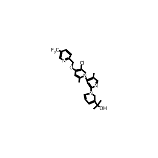 CC1=CC(OCc2ccc(C(F)(F)F)cn2)=C(Cl)CN1c1cc(N2C=CC=C(C(C)(C)O)C2)ncc1C